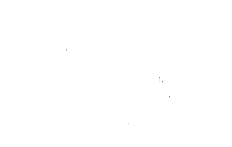 COc1cc(C=C(C)C(=O)O)ccc1[N+](=O)[O-]